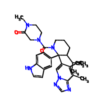 Cc1c(C2(c3ccc4[nH]ccc4c3)C(C(C)C)CCCN2C(=O)N2CCN(C)C(=O)C2)cn2ncnc2c1C